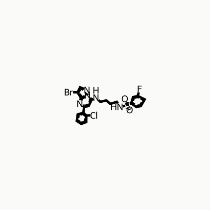 O=S(=O)(NCCCCNc1cc(-c2ccccc2Cl)nc2c(Br)cnn12)c1cccc(F)c1